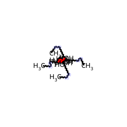 CCCCC/C=C\C/C=C\CCCCCCCCC(O)[C@](O)(CCCCCCCC/C=C\C/C=C\CCCCC)[C@](O)(C(=O)CN(C)C)[C@@](O)(C(=O)CN(C)C)[C@@](O)(CCCCCCCC/C=C\C/C=C\CCCCC)C(O)CCCCCCCC/C=C\C/C=C\CCCCC